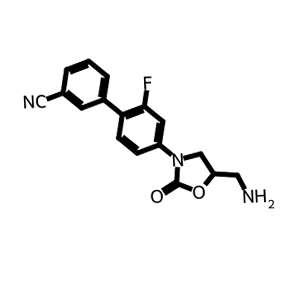 N#Cc1cccc(-c2ccc(N3CC(CN)OC3=O)cc2F)c1